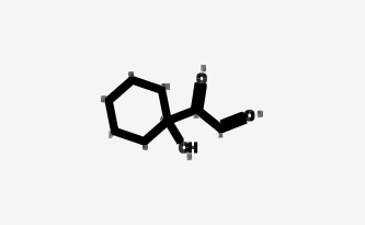 O=CC(=O)C1(O)CCCCC1